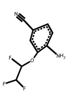 N#Cc1ccc(N)c(OC(F)C(F)F)c1